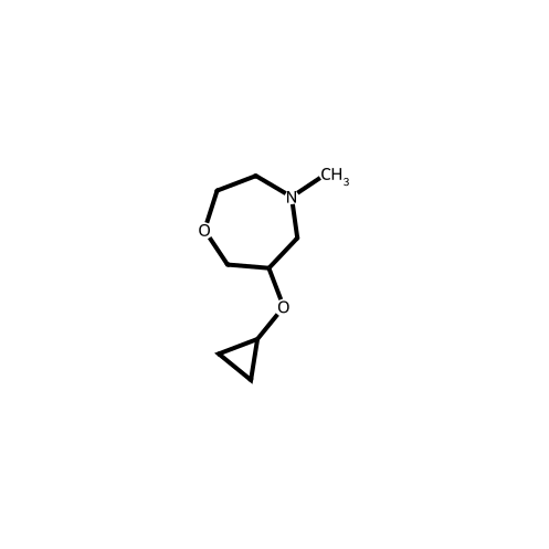 CN1CCOCC(OC2CC2)C1